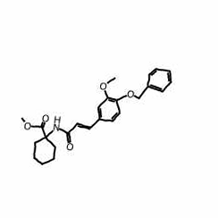 COC(=O)C1(NC(=O)C=Cc2ccc(OCc3ccccc3)c(OC)c2)CCCCC1